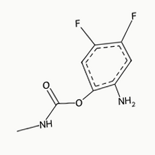 CNC(=O)Oc1cc(F)c(F)cc1N